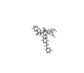 CC(C)(C)OC(=O)NC(Cc1ccc(OCc2ccccc2)cc1)C(O)C(F)(F)C(=O)N1CCOCC1